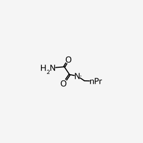 CCCC[N]C(=O)C(N)=O